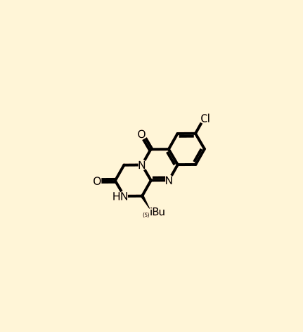 CC[C@H](C)C1NC(=O)Cn2c1nc1ccc(Cl)cc1c2=O